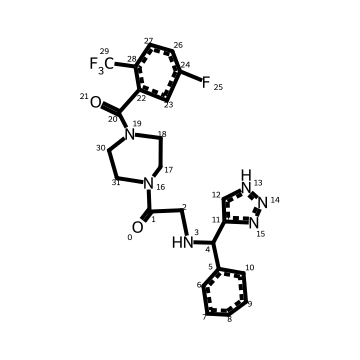 O=C(CNC(c1ccccc1)c1c[nH]nn1)N1CCN(C(=O)c2cc(F)ccc2C(F)(F)F)CC1